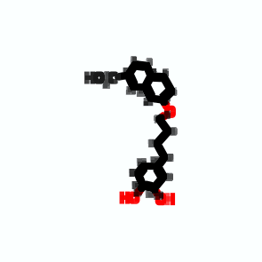 O=C(O)c1ccc2ccc(OCCCCc3ccc(O)c(O)c3)cc2c1